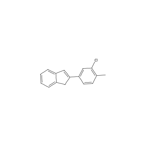 Cc1ccc(C2=Cc3ccccc3C2)cc1Cl